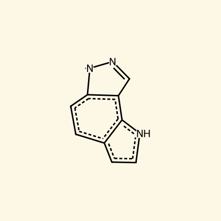 C1=N[N]c2ccc3cc[nH]c3c21